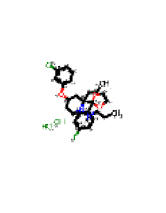 CCCN(C)N1CCC(Oc2cccc(Cl)c2)CC1(CCC)C1(c2ccc(F)cc2)OCCO1.Cl.Cl